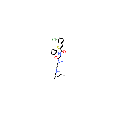 CC1CC(C)CN(CCCNC(=O)CN2C(=O)C(=Cc3cccc(Cl)c3)Sc3ccccc32)C1